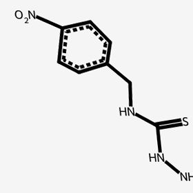 NNC(=S)NCc1ccc([N+](=O)[O-])cc1